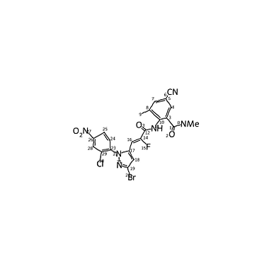 CNC(=O)c1cc(C#N)cc(C)c1NC(=O)C(F)=Cc1cc(Br)nn1-c1ccc([N+](=O)[O-])cc1Cl